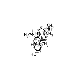 CN[C@H]1C[C@@H]2C[C@@H](O)C=C[C@]2(C)C2=CC[C@]3(C)[C@@H](NC)CC[C@H]3[C@@H]21